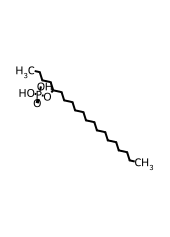 CCCCCCCCCCCCCCCC(CCCC)OP(=O)(O)O